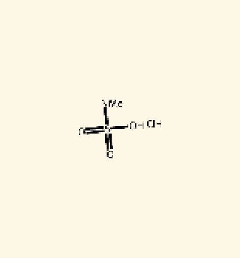 CNS(=O)(=O)O.Cl